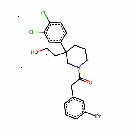 CC(C)c1cccc(CC(=O)N2CCCC(CCO)(c3ccc(Cl)c(Cl)c3)C2)c1